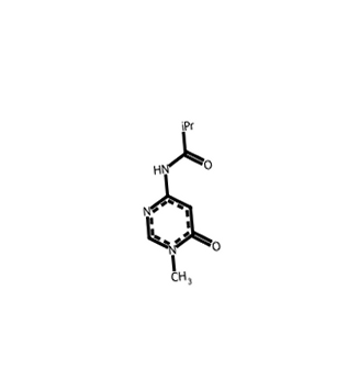 CC(C)C(=O)Nc1cc(=O)n(C)cn1